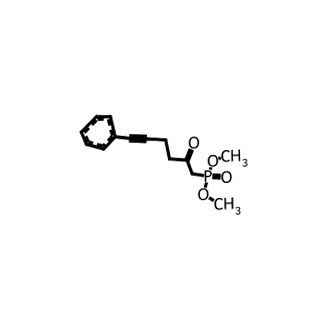 COP(=O)(CC(=O)CCC#Cc1ccccc1)OC